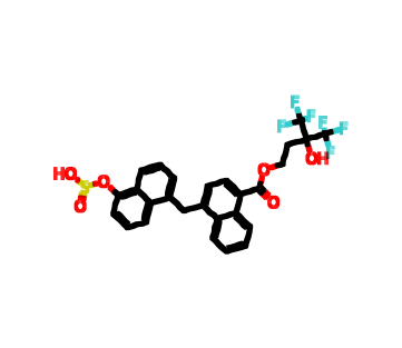 O=C(OCCC(O)(C(F)(F)F)C(F)(F)F)c1ccc(Cc2cccc3c(OS(=O)O)cccc23)c2ccccc12